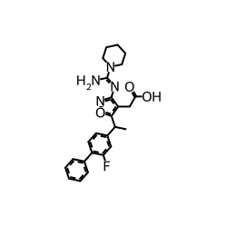 CC(c1ccc(-c2ccccc2)c(F)c1)c1onc(/N=C(\N)N2CCCCC2)c1CC(=O)O